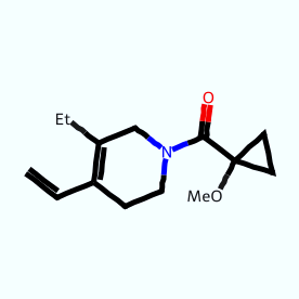 C=CC1=C(CC)CN(C(=O)C2(OC)CC2)CC1